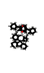 c1cnc2c(c1)C1(c3cccnc3-2)c2cccc(-n3c4ccccc4c4ccccc43)c2Oc2c(-n3c4ccccc4c4ccccc43)cccc21